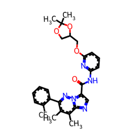 Cc1c(-c2ccccc2C(F)(F)F)nn2c(C(=O)Nc3cccc(OCC4COC(C)(C)O4)n3)cnc2c1C